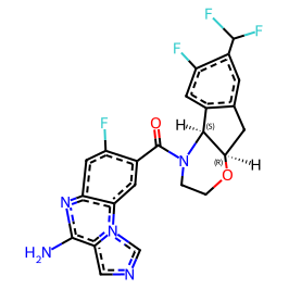 Nc1nc2cc(F)c(C(=O)N3CCO[C@@H]4Cc5cc(C(F)F)c(F)cc5[C@@H]43)cc2n2cncc12